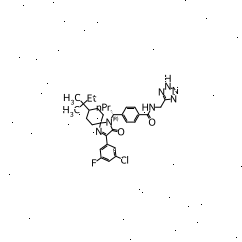 CCC[C@H](c1ccc(C(=O)NCc2nn[nH]n2)cc1)N1C(=O)C(c2cc(F)cc(Cl)c2)=NC12CCC(C(C)(C)CC)CC2